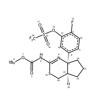 CC(C)(C)OC(=O)NC1=N[C@@]2(c3ccc(F)c(OS(=O)(=O)C(F)(F)F)c3)CCC[C@H]2CS1